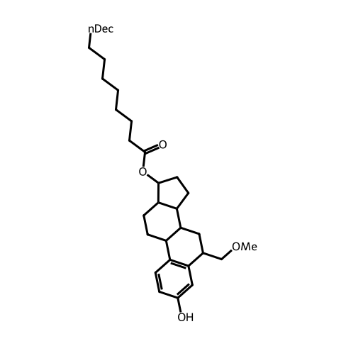 CCCCCCCCCCCCCCCCCC(=O)OC1CCC2C1CCC1c3ccc(O)cc3C(COC)CC12